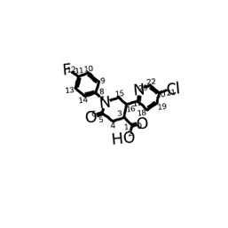 O=C(O)C1CC(=O)N(c2ccc(F)cc2)CC1c1ccc(Cl)cn1